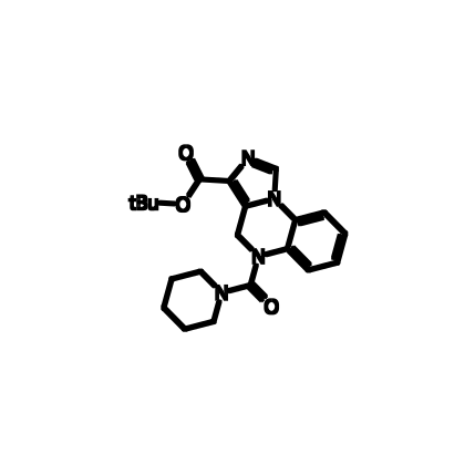 CC(C)(C)OC(=O)c1ncn2c1CN(C(=O)N1CCCCC1)c1ccccc1-2